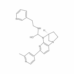 Cc1cc(-c2ccc3c(n2)N(C(O)NCCc2cccnc2)[C@H]2CCN3C2)ccn1